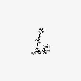 CNC(=O)[C@H]1O[C@@H](n2cnc3c(N)nc(NCCNC(=O)CCCCCNS(C)(=O)=O)nc32)[C@H](O)[C@@H]1O